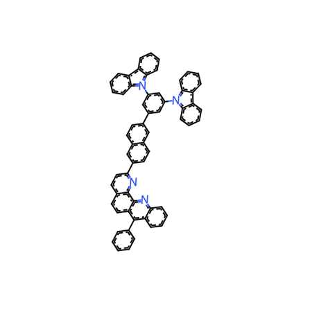 c1ccc(-c2c3ccccc3nc3c2ccc2ccc(-c4ccc5cc(-c6cc(-n7c8ccccc8c8ccccc87)cc(-n7c8ccccc8c8ccccc87)c6)ccc5c4)nc23)cc1